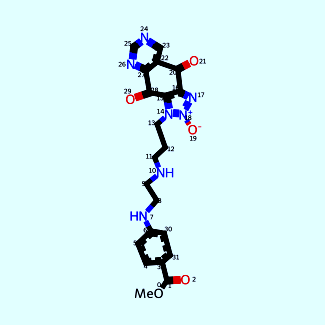 COC(=O)c1ccc(NCCNCCCn2c3c(n[n+]2[O-])C(=O)c2cncnc2C3=O)cc1